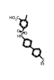 CCSc1ccc(-c2ccc(NS(=O)(=O)c3ccc(C)c(C(=O)O)c3)cc2)cc1